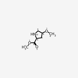 COC(=O)C1CC(OC)CN1